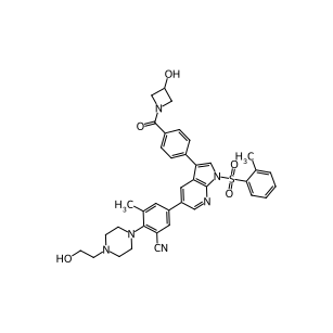 Cc1ccccc1S(=O)(=O)n1cc(-c2ccc(C(=O)N3CC(O)C3)cc2)c2cc(-c3cc(C)c(N4CCN(CCO)CC4)c(C#N)c3)cnc21